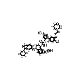 CC(C)(C)c1cc(NC(=O)N[C@H]2CC[C@@H](Oc3ccc4nnc(N5CCCCC5)n4c3)c3ccccc32)n(-c2ccc(Cl)c(OCCN3CCCOCC3)c2)n1.O=CO